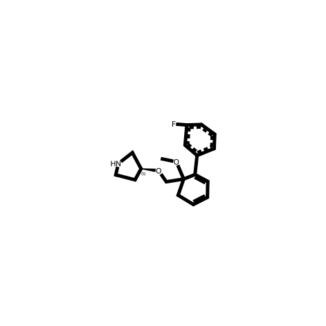 COC1(CO[C@H]2CCNC2)CC=CC=C1c1cccc(F)c1